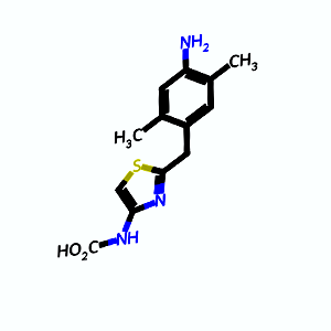 Cc1cc(Cc2nc(NC(=O)O)cs2)c(C)cc1N